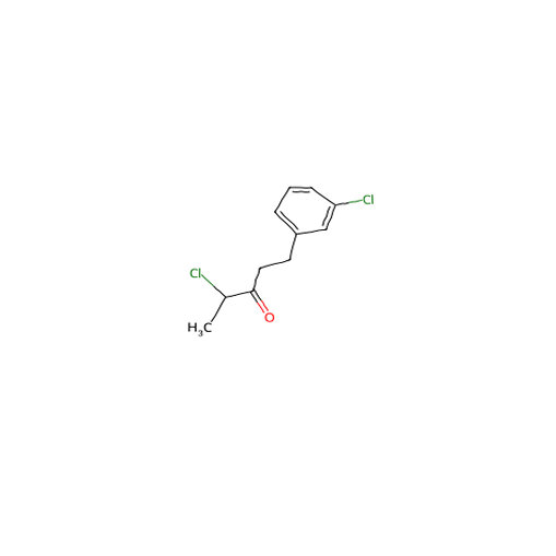 CC(Cl)C(=O)CCc1cccc(Cl)c1